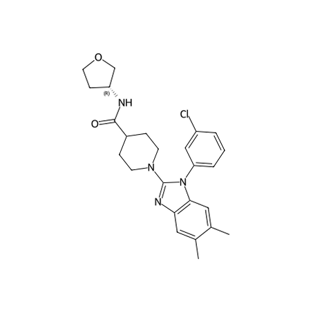 Cc1cc2nc(N3CCC(C(=O)N[C@@H]4CCOC4)CC3)n(-c3cccc(Cl)c3)c2cc1C